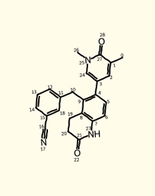 Cc1cc(-c2ccc3c(c2Cc2cccc(C#N)c2)CCC(=O)N3)cn(C)c1=O